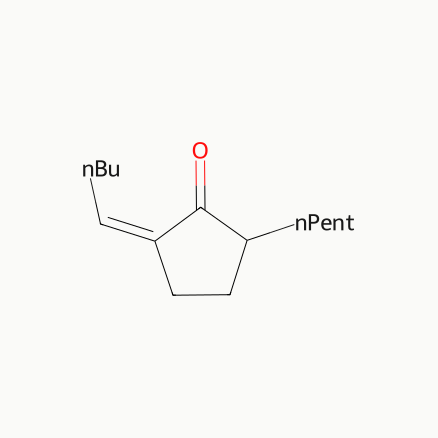 CCCC/C=C1/CCC(CCCCC)C1=O